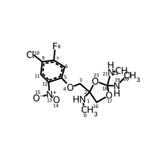 CNC1(COc2cc(F)c(Cl)cc2[N+](=O)[O-])COC(NC)(NC)O1